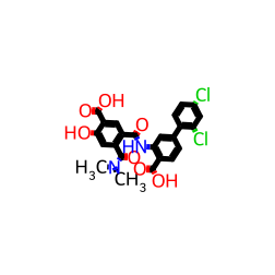 CN(C)C(=O)c1cc(O)c(C(=O)O)cc1C(=O)Nc1cc(-c2ccc(Cl)cc2Cl)ccc1C(=O)O